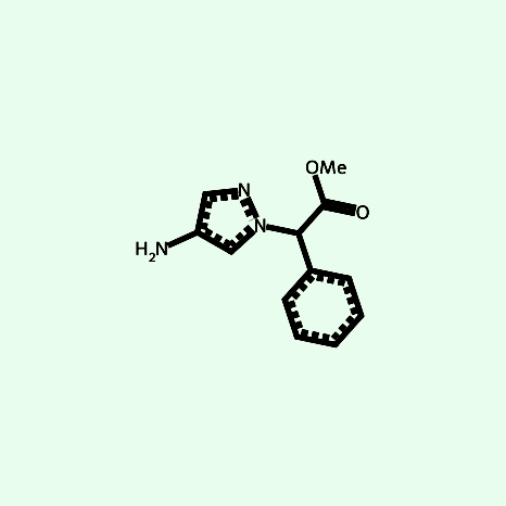 COC(=O)C(c1ccccc1)n1cc(N)cn1